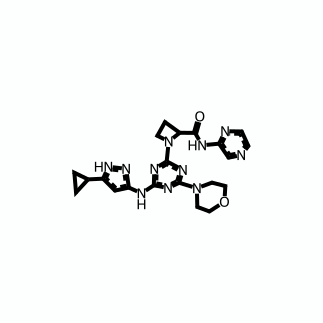 O=C(Nc1cnccn1)C1CCN1c1nc(Nc2cc(C3CC3)[nH]n2)nc(N2CCOCC2)n1